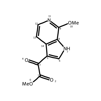 COC(=O)C(=O)c1c[nH]c2c(OC)nccc12